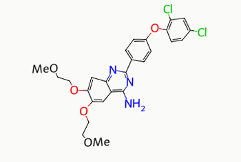 COCCOc1cc2nc(-c3ccc(Oc4ccc(Cl)cc4Cl)cc3)nc(N)c2cc1OCCOC